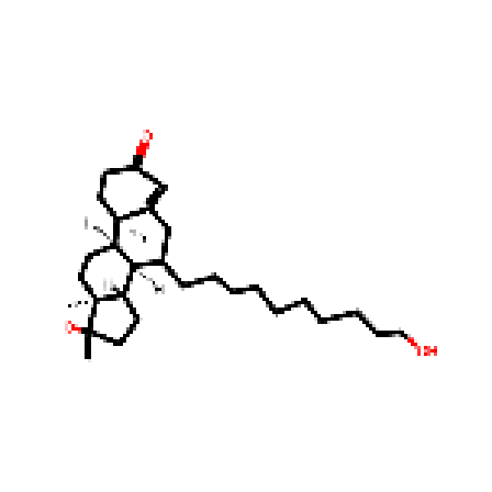 CC1(O)CC[C@H]2[C@@H]3C(CCCCCCCCCCO)CC4=CC(=O)CC[C@]4(C)[C@@H]3CC[C@@]21C